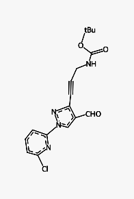 CC(C)(C)OC(=O)NCC#Cc1nn(-c2cccc(Cl)n2)cc1C=O